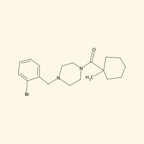 CC1(C(=O)N2CCN(Cc3ccccc3Br)CC2)CCCCC1